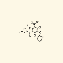 CCCN(C(=O)c1cc([N+](=O)[O-])c(Cl)c(Oc2ccccn2)c1Cl)C(F)(F)F